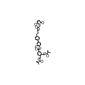 C=C(C)C(=O)OCc1ccc(C(=O)Oc2ccc(-c3ccc(CCCOC(=O)CN4C(=O)C=CC4=O)cc3)cc2F)cc1COC(=O)C(=C)C